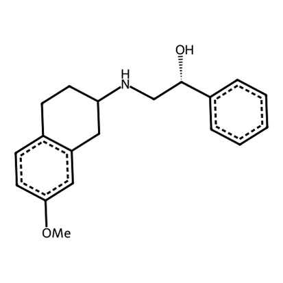 COc1ccc2c(c1)CC(NC[C@H](O)c1ccccc1)CC2